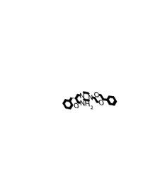 NC(=O)[C@H](CC1CCCCC1)CN1CCN(C2COC(C3=CC=CCC3)CO2)CC1